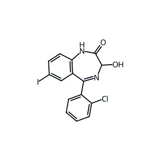 O=C1Nc2ccc(I)cc2C(c2ccccc2Cl)=NC1O